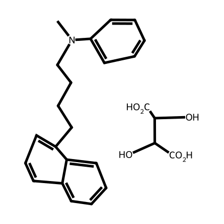 CN(CCCCc1cccc2ccccc12)c1ccccc1.O=C(O)C(O)C(O)C(=O)O